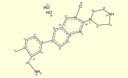 Cc1ccc(-c2ccc3nc(N4CCNCC4)c(Cl)cc3c2)cc1CN.Cl.Cl